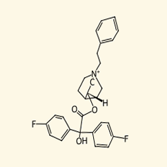 O=C(O[C@H]1C[N+]2(CCc3ccccc3)CCC1CC2)C(O)(c1ccc(F)cc1)c1ccc(F)cc1